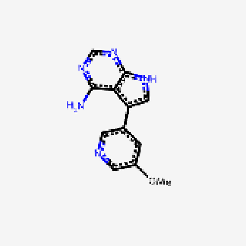 COc1cncc(-c2c[nH]c3ncnc(N)c23)c1